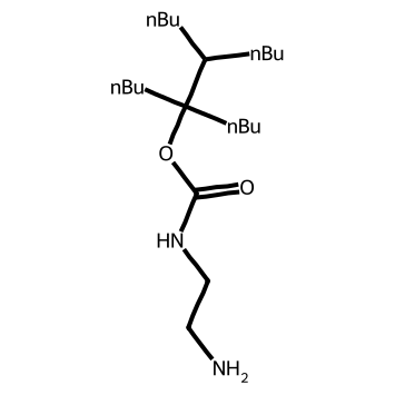 CCCCC(CCCC)C(CCCC)(CCCC)OC(=O)NCCN